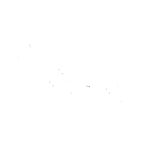 CC(C)(C)OC(=O)N1CCC([C@@H]2Cc3nc(-c4ccc(S(C)(=O)=O)cc4)ncc3O2)CC1